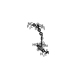 Cc1ncsc1-c1ccc(CNC(=O)[C@@H]2C[C@@H](O)CN2C(=O)C(NC(=O)CCCOCCN2CCC(c3ccc(N4C(=S)N(c5ccc(C#N)c(C(F)(F)F)c5)C(=O)C4(C)C)cc3)CC2)C(C)(C)C)cc1